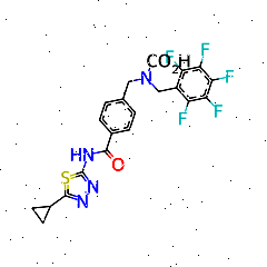 O=C(Nc1nnc(C2CC2)s1)c1ccc(CN(Cc2c(F)c(F)c(F)c(F)c2F)C(=O)O)cc1